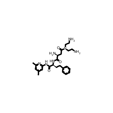 Cc1cc(C)nc(NC(=O)[C@H](CCc2ccccc2)NC(=O)[C@@H](N)CC(=O)N(CCN)CCN)c1